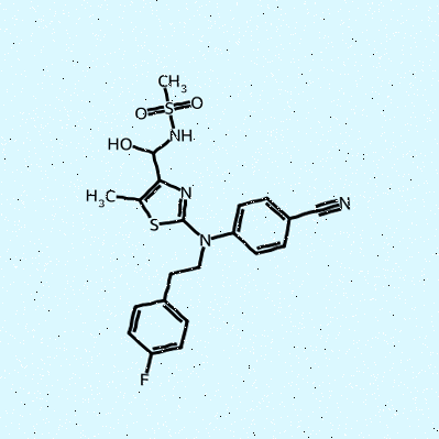 Cc1sc(N(CCc2ccc(F)cc2)c2ccc(C#N)cc2)nc1C(O)NS(C)(=O)=O